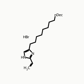 Br.C=Cc1nc(CCCCCCCCCCCCCCCCCC)c[nH]1